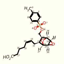 Cc1ccc(S(=O)(=O)OC[C@@H]2[C@H](C/C=C\CCCC(=O)O)[C@H]3O[C@@H]2[C@H]2O[C@H]23)cc1